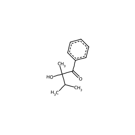 CC(C)C(C)(O)C(=O)c1ccccc1